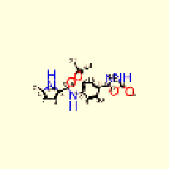 Cc1ccc(C(=O)Nc2ccc(-c3n[nH]c(=O)o3)cc2OC(C)C)[nH]1